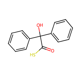 O=C(S)C(O)(c1ccccc1)c1ccccc1